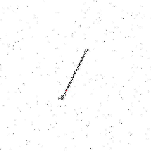 CCOCCOCCOCCOCCOCCOCCOCCOCCOCCOCCOCCOCCOCCOCCS(=O)(=O)O